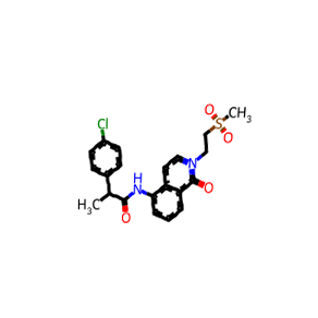 CC(C(=O)Nc1cccc2c(=O)n(CCS(C)(=O)=O)ccc12)c1ccc(Cl)cc1